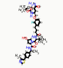 Cc1ncsc1-c1ccc([C@H](C)NC(=O)[C@@H]2C[C@@H](O)CN2C(=O)[C@@H](NC(=O)CCCc2cccc(OC[C@H](CCC(N)=O)NC(=O)OC(C)(C)C)c2F)C(C)(C)C)cc1